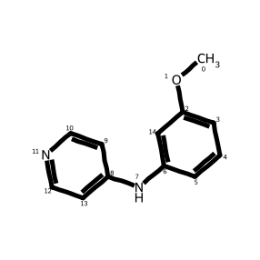 COc1cccc(Nc2ccncc2)c1